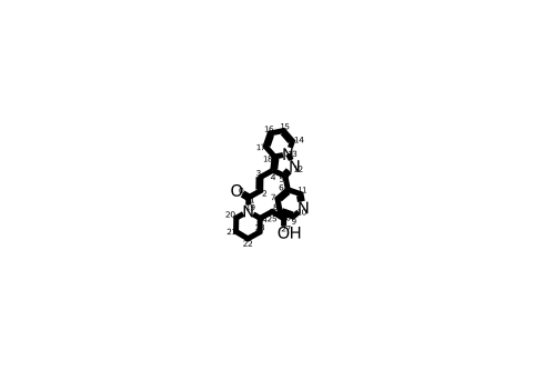 O=C(C=Cc1c(-c2cccnc2)nn2ccccc12)N1CCCCC1CCO